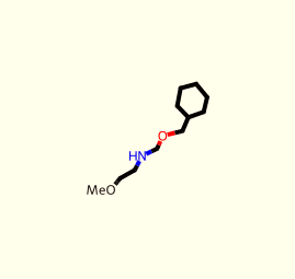 COCCNCOCC1CCCCC1